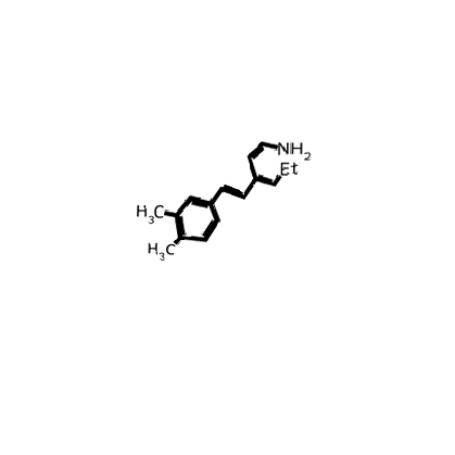 CC/C=C(\C=C/N)/C=C/c1ccc(C)c(C)c1